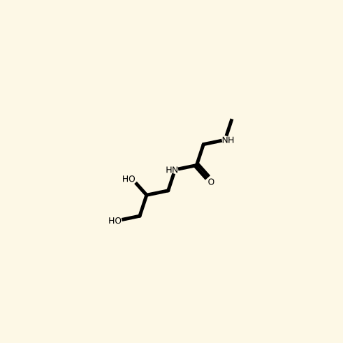 CNCC(=O)NCC(O)CO